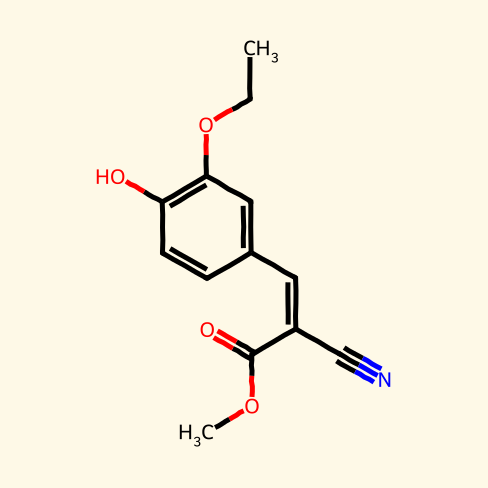 CCOc1cc(C=C(C#N)C(=O)OC)ccc1O